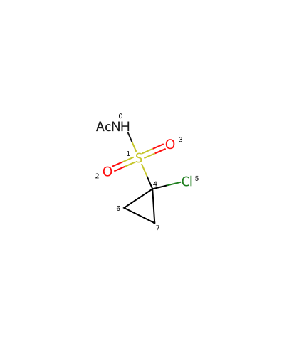 CC(=O)NS(=O)(=O)C1(Cl)CC1